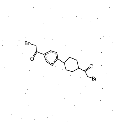 O=C(CBr)c1ccc(C2CCC(C(=O)CBr)CC2)cc1